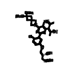 CNC[C@@H](O)COc1ccc(Cl)c(-c2nc(/C(C(C)=N)=C(\C)O)c(C)c(N3CC4(C3)CC(OC)(OC)C4)n2)c1